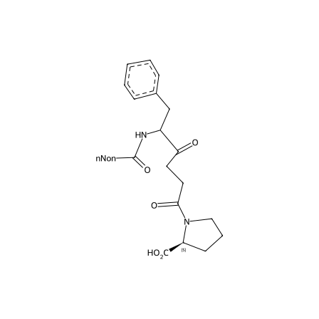 CCCCCCCCCC(=O)NC(Cc1ccccc1)C(=O)CCC(=O)N1CCC[C@H]1C(=O)O